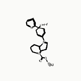 CC(C)(C)OC(=O)N1CCCC2C1CCN2C1CCC(O)(c2ccccn2)CC1